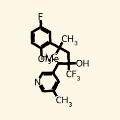 COc1ccc(F)cc1C(C)(C)CC(O)(Cc1cncc(C)c1)C(F)(F)F